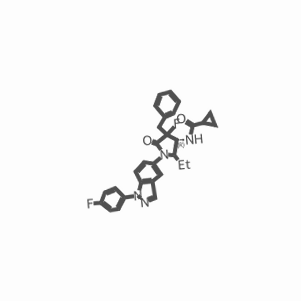 CCC1[C@@H](NC(=O)C2CC2)C(F)(Cc2ccccc2)C(=O)N1c1ccc2c(cnn2-c2ccc(F)cc2)c1